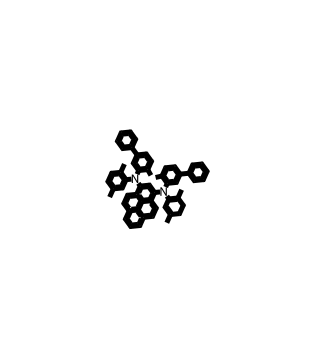 CC1=CC(N(c2cc(-c3ccccc3)ccc2C)c2cc(N(c3cc(C)ccc3C)c3cc(-c4ccccc4)ccc3C)c3ccc4cccc5ccc2c3c54)=C(C)CC1